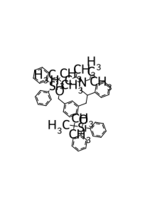 CC(C)N(CC(Cc1cc(CO[Si](c2ccccc2)(c2ccccc2)C(C)(C)C)ccc1O[Si](c1ccccc1)(c1ccccc1)C(C)(C)C)c1ccccc1)C(C)C